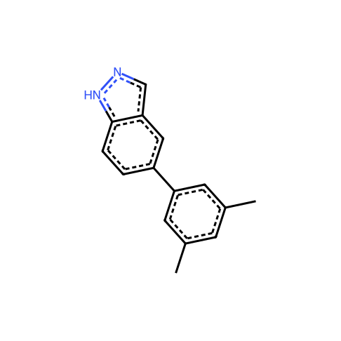 Cc1cc(C)cc(-c2ccc3[nH]ncc3c2)c1